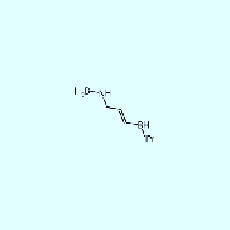 BNC/C=C/BC(C)C